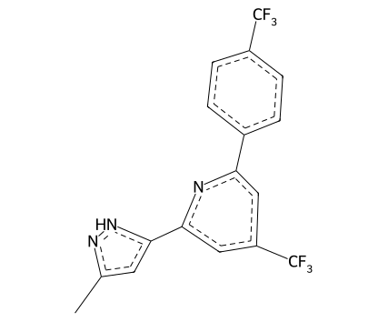 Cc1cc(-c2cc(C(F)(F)F)cc(-c3ccc(C(F)(F)F)cc3)n2)[nH]n1